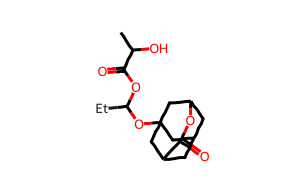 CCC(OC(=O)C(C)O)OC12CC3CC(C1)OC(=O)C(C3)C2